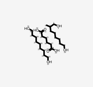 CC(CO)CCCCCCO.O=C(O)CCCCC(=O)O.OCCCCCCCCCO